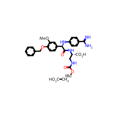 CC(=O)O.COc1cc([C@@H](Nc2ccc(C(=N)N)cc2)C(=O)N[C@@H](CNC(=O)OC(C)(C)C)C(=O)O)ccc1OCc1ccccc1